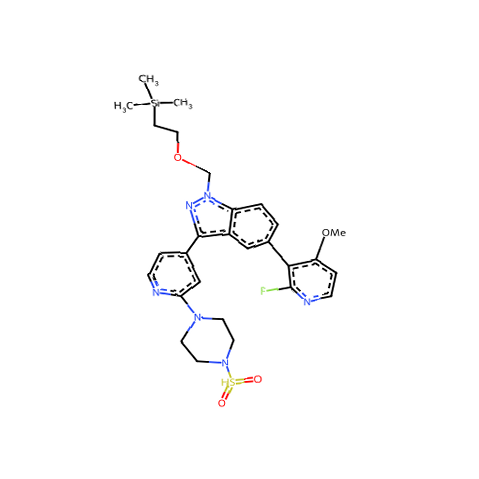 COc1ccnc(F)c1-c1ccc2c(c1)c(-c1ccnc(N3CCN([SH](=O)=O)CC3)c1)nn2COCC[Si](C)(C)C